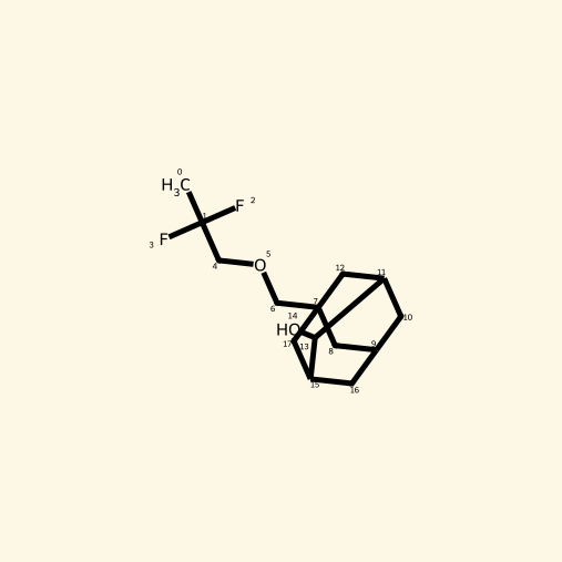 CC(F)(F)COCC12CC3CC(C1)C(O)C(C3)C2